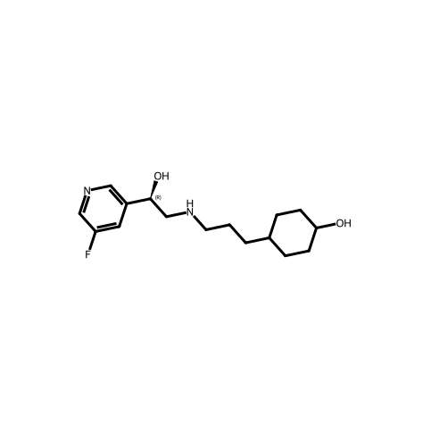 OC1CCC(CCCNC[C@H](O)c2cncc(F)c2)CC1